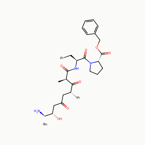 CC[C@H](C)[C@@H](N)[C@@H](O)CC(=O)C[C@H](C(=O)[C@@H](C)C(=O)N[C@@H](CC(C)C)C(=O)N1CCC[C@H]1C(=O)OCc1ccccc1)C(C)C